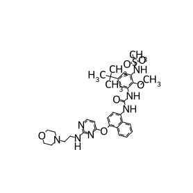 COc1c(NC(=O)Nc2ccc(Oc3ccnc(NCCN4CCOCC4)n3)c3ccccc23)cc(C(C)(C)C)cc1NS(C)(=O)=O